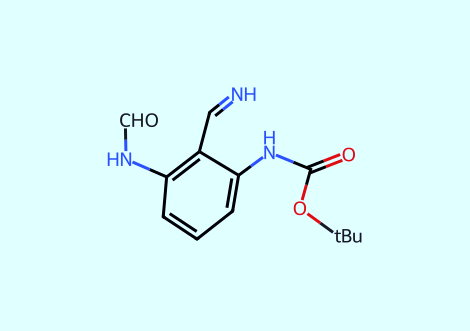 CC(C)(C)OC(=O)Nc1cccc(NC=O)c1C=N